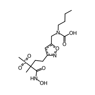 CCCCN(Cc1cc(CCC(C)(C(=O)NO)S(C)(=O)=O)no1)C(=O)O